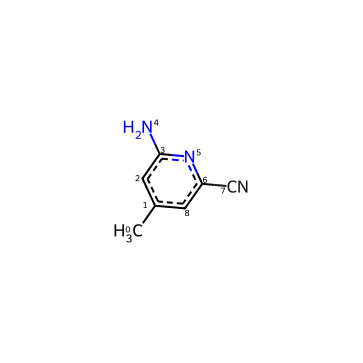 Cc1cc(N)nc(C#N)c1